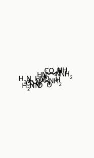 N=C(N)NCCCC[C@H](NC(=O)N[C@@H](CCC(N)=O)c1nc([C@@H](N)CC(N)=O)no1)C(=O)O